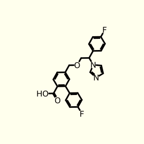 O=C(O)c1ccc(COCC(c2ccc(F)cc2)n2ccnc2)cc1-c1ccc(F)cc1